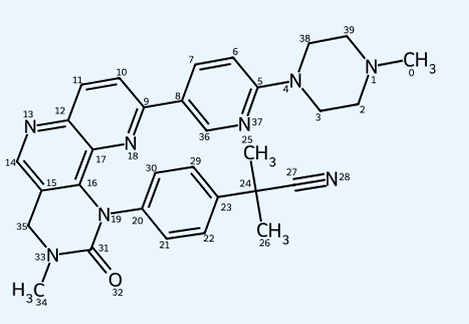 CN1CCN(c2ccc(-c3ccc4ncc5c(c4n3)N(c3ccc(C(C)(C)C#N)cc3)C(=O)N(C)C5)cn2)CC1